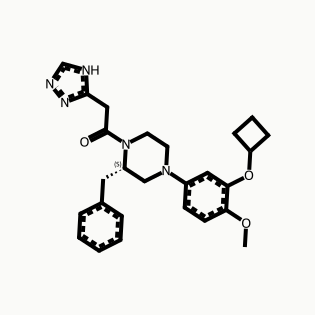 COc1ccc(N2CCN(C(=O)Cc3nnc[nH]3)[C@@H](Cc3ccccc3)C2)cc1OC1CCC1